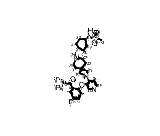 CC(C)N(C(=O)c1cc(F)ccc1Oc1cnccc1N1CC2(CCN(C[C@H]3CC[C@H](NS(C)(=O)=O)CC3)CC2)C1)C(C)C